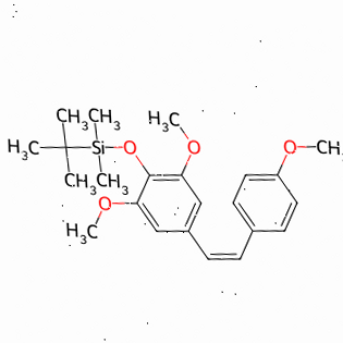 COc1ccc(/C=C\c2cc(OC)c(O[Si](C)(C)C(C)(C)C)c(OC)c2)cc1